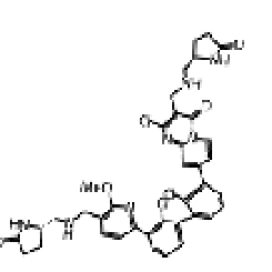 COc1nc(-c2cccc(-c3cccc(-c4ccn5c(=O)c(CNC[C@H]6CCC(=O)N6)c(Cl)nc5c4)c3Cl)c2Cl)ccc1CNC[C@@H]1CCC(=O)N1